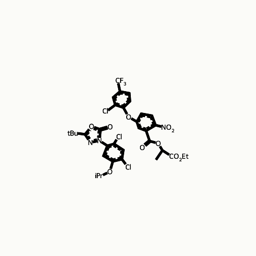 CC(C)Oc1cc(-n2nc(C(C)(C)C)oc2=O)c(Cl)cc1Cl.CCOC(=O)C(C)OC(=O)c1cc(Oc2ccc(C(F)(F)F)cc2Cl)ccc1[N+](=O)[O-]